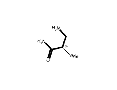 CN[C@@H](CN)C(N)=O